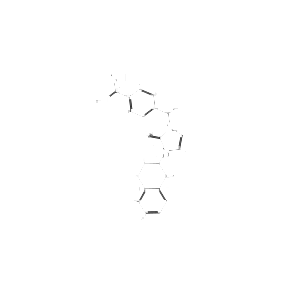 CC(c1ccc(C(N)=O)cc1)n1ccn(C2CCc3ccccc3C2)c1=S